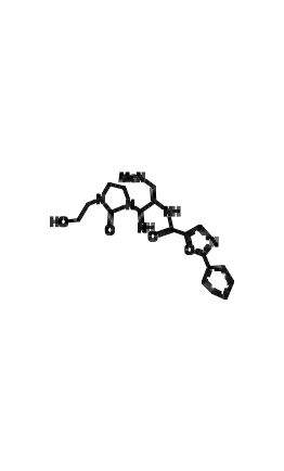 CN/C=C(/NC(=O)c1cnc(-c2ccccc2)o1)C(=N)N1CCN(CCO)C1=O